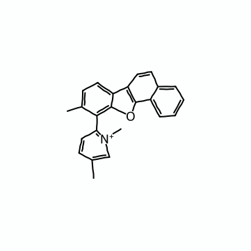 Cc1ccc(-c2c(C)ccc3c2oc2c4ccccc4ccc32)[n+](C)c1